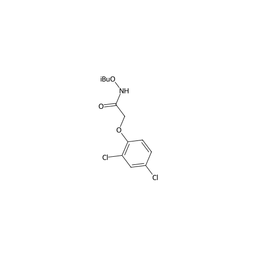 CC(C)CONC(=O)COc1ccc(Cl)cc1Cl